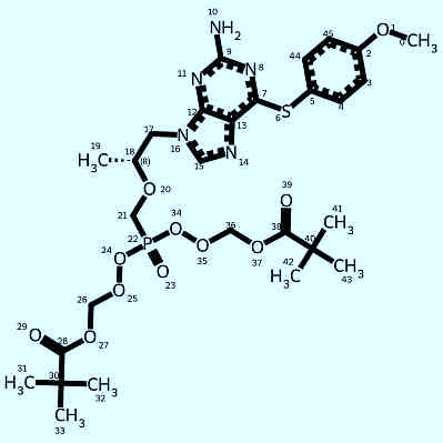 COc1ccc(Sc2nc(N)nc3c2ncn3C[C@@H](C)OCP(=O)(OOCOC(=O)C(C)(C)C)OOCOC(=O)C(C)(C)C)cc1